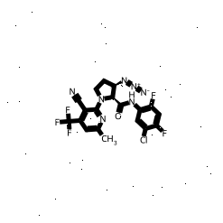 Cc1cc(C(F)(F)F)c(C#N)c(N2CC[C@@H](N=[N+]=[N-])[C@H]2C(=O)Nc2cc(Cl)c(F)cc2F)n1